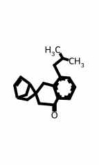 CC(C)Cc1cccc2c1CC1(CC2=O)CC2C=CC1C2